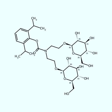 CC(C)c1cccc(C(C)C)c1OC(=O)N(CCO[C@@H]1O[C@H](CO)[C@@H](O)[C@H](O)[C@H]1O)CCO[C@@H]1O[C@H](CO)[C@@H](O)[C@H](O)[C@H]1O